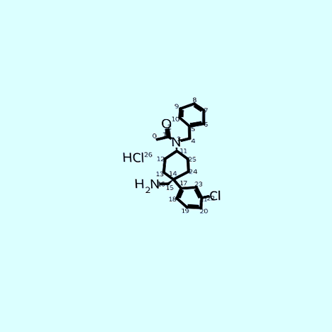 CC(=O)N(Cc1ccccc1)[C@H]1CC[C@@](CN)(c2cccc(Cl)c2)CC1.Cl